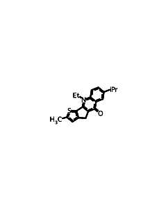 CCn1c2c(c(=O)c3cc(C(C)C)ccc31)Cc1cc(C)sc1-2